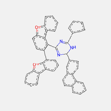 c1ccc(C2=NC(c3c(-c4cccc5c4oc4ccccc45)ccc4oc5ccccc5c34)=NC(c3ccc4c(ccc5ccccc54)c3)N2)cc1